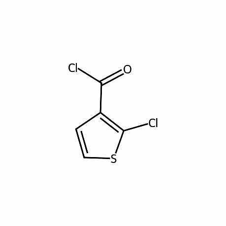 O=C(Cl)c1ccsc1Cl